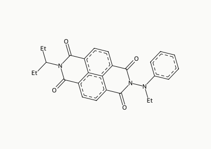 CCC(CC)N1C(=O)c2ccc3c4c(ccc(c24)C1=O)C(=O)N(N(CC)c1ccccc1)C3=O